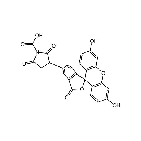 O=C1OC2(c3ccc(O)cc3Oc3cc(O)ccc32)c2ccc(C3CC(=O)N(C(=O)O)C3=O)cc21